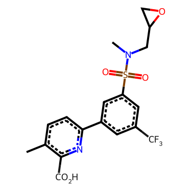 Cc1ccc(-c2cc(C(F)(F)F)cc(S(=O)(=O)N(C)CC3CO3)c2)nc1C(=O)O